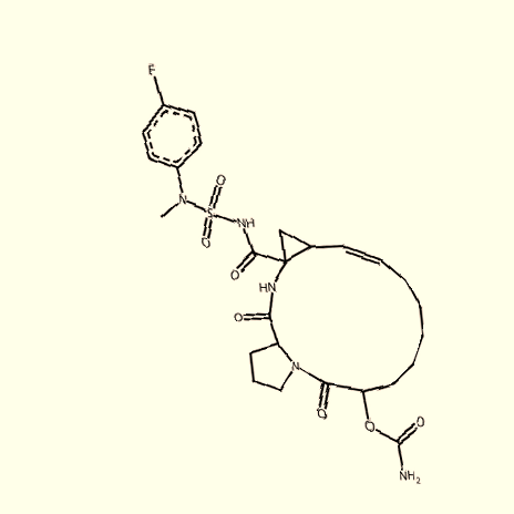 CN(c1ccc(F)cc1)S(=O)(=O)NC(=O)C12CC1/C=C\CCCCCC(OC(N)=O)C(=O)N1CCCC1C(=O)N2